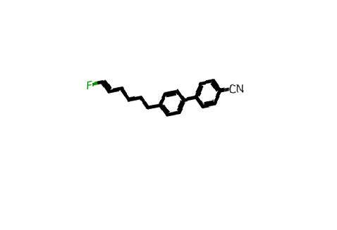 N#Cc1ccc(-c2ccc(CCCC/C=C/F)cc2)cc1